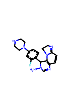 NN1C=NC2=C(C1c1ccc(N3CCNCC3)cc1F)N1CCN=C1C=C2